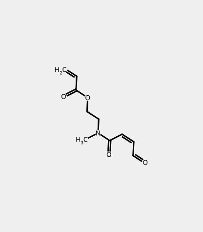 C=CC(=O)OCCN(C)C(=O)/C=C\C=O